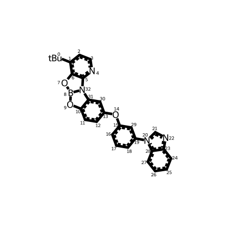 CC(C)(C)c1ccnc2c1OB1Oc3ccc(Oc4cccc(-n5cnc6ccccc65)c4)cc3N12